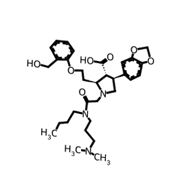 CCCCN(CCCN(C)C)C(=O)CN1C[C@H](c2ccc3c(c2)OCO3)[C@@H](C(=O)O)[C@@H]1CCOc1ccccc1CO